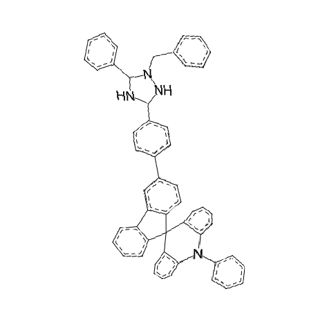 c1ccc(CN2NC(c3ccc(-c4ccc5c(c4)-c4ccccc4C54c5ccccc5N(c5ccccc5)c5ccccc54)cc3)NC2c2ccccc2)cc1